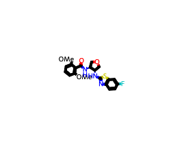 COc1cccc(OC)c1C(=O)N[C@H]1COC[C@@H]1Nc1nc2ccc(F)cc2s1